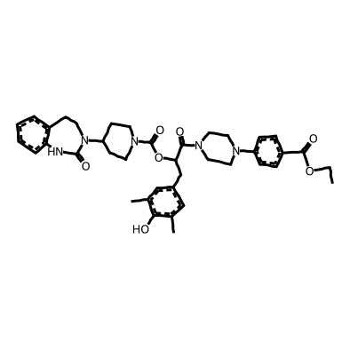 CCOC(=O)c1ccc(N2CCN(C(=O)C(Cc3cc(C)c(O)c(C)c3)OC(=O)N3CCC(N4CCc5ccccc5NC4=O)CC3)CC2)cc1